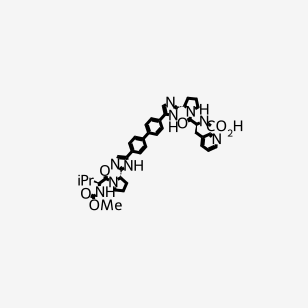 COC(=O)N[C@H](C(=O)N1CCC[C@H]1c1ncc(-c2ccc(-c3ccc(-c4cnc([C@@H]5CCCN5C(=O)[C@H](Cc5cccnc5)NC(=O)O)[nH]4)cc3)cc2)[nH]1)C(C)C